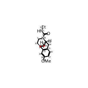 CCNC(=O)N1CC[C@]23CCCC[C@H]2[C@H]1Cc1ccc(OC)cc13